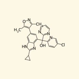 Cc1noc(C)c1-c1cc(C(O)(c2ccc(Cl)cn2)c2ncccn2)c2nc(C3CC3)[nH]c2c1